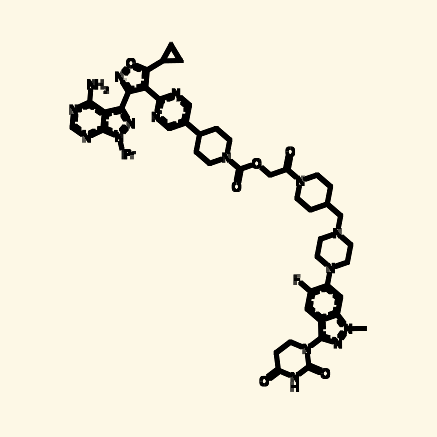 CC(C)n1nc(-c2noc(C3CC3)c2-c2ncc(C3CCN(C(=O)OCC(=O)N4CCC(CN5CCN(c6cc7c(cc6F)c(N6CCC(=O)NC6=O)nn7C)CC5)CC4)CC3)cn2)c2c(N)ncnc21